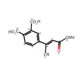 COC(=O)C=C(C#N)c1ccc(C(=O)O)c(C(=O)O)c1